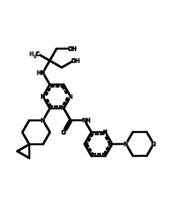 CC(CO)(CO)Nc1cnc(C(=O)Nc2cccc(N3CCOCC3)n2)c(N2CCC3(CC2)CC3)n1